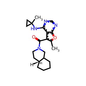 Cc1oc2ncnc(NC3(C)CC3)c2c1C(=O)N1CC[C@H]2CCCCC2C1